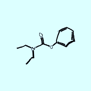 CCN(CC)C(=O)Oc1[c]cccc1